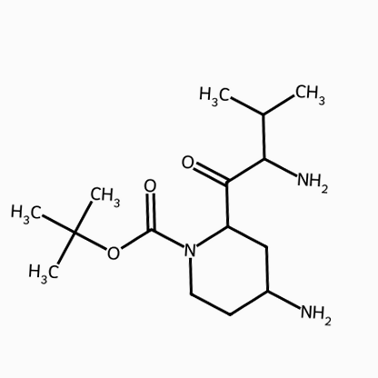 CC(C)C(N)C(=O)C1CC(N)CCN1C(=O)OC(C)(C)C